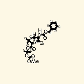 COC(=O)OC(C)(C)OC(=O)[C@@H]1N2C(=O)[C@@H](NC(=O)OCc3ccccc3)[C@H]2SC1(C)C